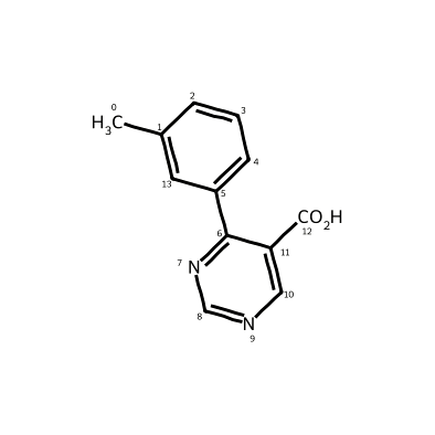 Cc1cccc(-c2ncncc2C(=O)O)c1